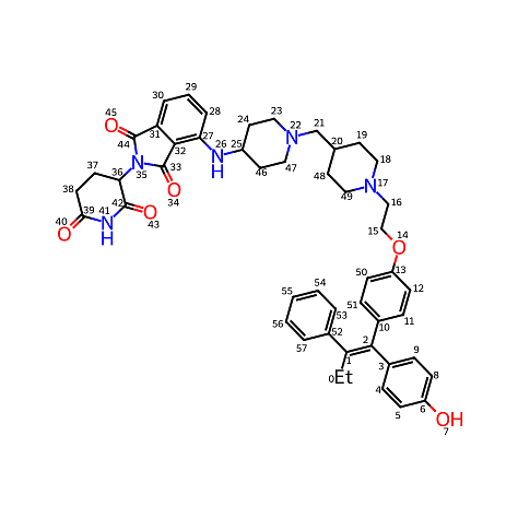 CCC(=C(c1ccc(O)cc1)c1ccc(OCCN2CCC(CN3CCC(Nc4cccc5c4C(=O)N(C4CCC(=O)NC4=O)C5=O)CC3)CC2)cc1)c1ccccc1